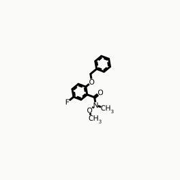 CON(C)C(=O)c1cc(F)ccc1OCc1ccccc1